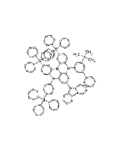 CC(C)(C)c1cc(-c2ccccc2)cc(N2c3ccc([Si](c4ccccc4)(c4ccccc4)c4ccccc4)cc3B3c4cc([Si](c5ccccc5)(c5ccccc5)c5ccccc5)ccc4N(c4ccc([Si](c5ccccc5)(c5ccccc5)c5ccccc5)cc4)c4cc(-n5c6ccccc6c6ccccc65)cc2c43)c1